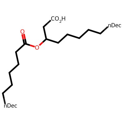 CCCCCCCCCCCCCCCC(=O)OC(CCCCCCCCCCCCCCC)CC(=O)O